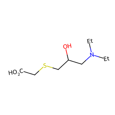 CCN(CC)CC(O)CSCC(=O)O